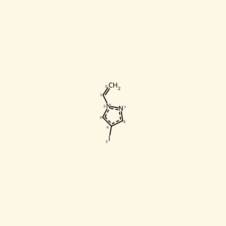 C=Cn1cc(I)cn1